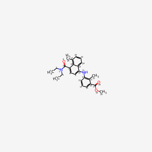 CCN(CC)C(=O)c1ccc(Nc2cccc(C(=O)OC)c2C)c2cccc(C)c12